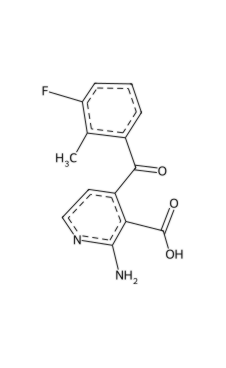 Cc1c(F)cccc1C(=O)c1ccnc(N)c1C(=O)O